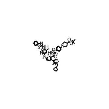 Cc1cc(N(C)c2ccc(-c3cnn(CC4CCCC4)c3C)c(C(=O)NS(=O)(=O)c3ccc(N4CCC(C(=O)OC(C)(C)C)CC4)cc3)n2)nnc1Nc1nc2ccccc2s1